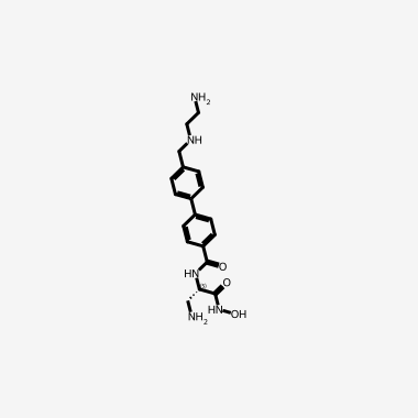 NCCNCc1ccc(-c2ccc(C(=O)N[C@@H](CN)C(=O)NO)cc2)cc1